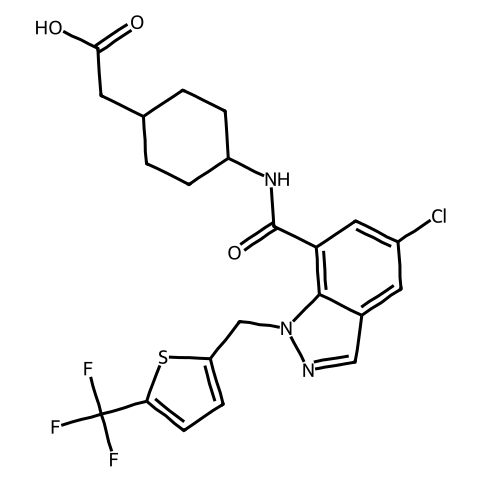 O=C(O)CC1CCC(NC(=O)c2cc(Cl)cc3cnn(Cc4ccc(C(F)(F)F)s4)c23)CC1